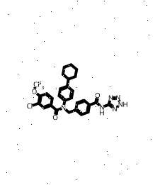 O=C(Nc1nn[nH]n1)c1ccc(CN(C(=O)c2ccc(OC(F)(F)F)c(Cl)c2)c2ccc(C3CCCCC3)cc2)cc1